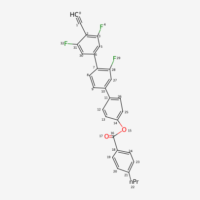 C#Cc1c(F)cc(-c2ccc(-c3ccc(OC(=O)c4ccc(CCC)cc4)cc3)cc2F)cc1F